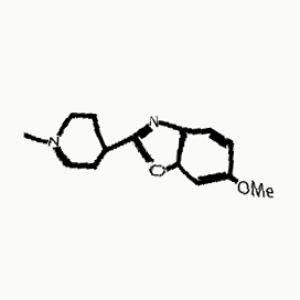 COC1=CC2OC(C3CCN(C)CC3)=NC2C=C1